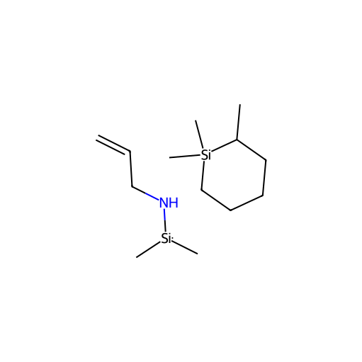 C=CCN[Si](C)C.CC1CCCC[Si]1(C)C